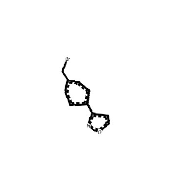 BrCc1ccc(-c2ccon2)cc1